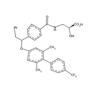 Cc1cc(OC(CC(C)C)c2ccc(C(=O)NC[C@H](O)C(=O)O)cc2)cc(C)c1-c1ccc(C(F)(F)F)cc1